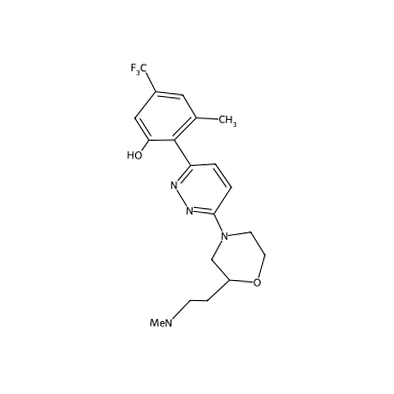 CNCCC1CN(c2ccc(-c3c(C)cc(C(F)(F)F)cc3O)nn2)CCO1